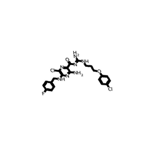 N/C(=N\C(=O)c1nc(Cl)c(NCc2ccc(F)cc2)nc1N)NCCCOc1ccc(Cl)cc1